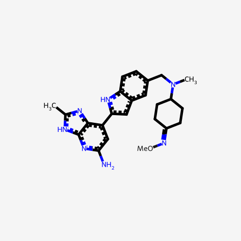 CON=C1CCC(N(C)Cc2ccc3[nH]c(-c4cc(N)nc5[nH]c(C)nc45)cc3c2)CC1